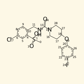 CS(=O)(=O)c1cc(Cl)ccc1CNC(=O)N1CCC(Oc2ccc(F)cc2)CC1